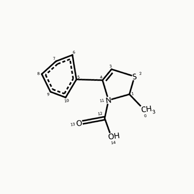 CC1SC=C(c2ccccc2)N1C(=O)O